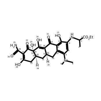 CCOC(=O)C(C)Nc1cc(N(C)C)c2c(c1O)C(=O)C1=C(O)[C@]3(O)C(=O)C(C(N)=O)=C(O)C[C@@H]3C[C@@H]1C2